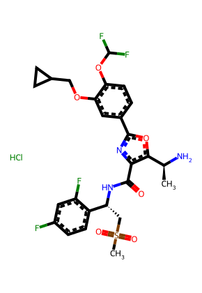 C[C@H](N)c1oc(-c2ccc(OC(F)F)c(OCC3CC3)c2)nc1C(=O)N[C@H](CS(C)(=O)=O)c1ccc(F)cc1F.Cl